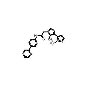 Cc1c(-c2ccnn2C)ncn1CC(=O)Nc1ccc(-c2cnccn2)cn1